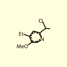 CCc1cc(C(C)Cl)ncc1OC